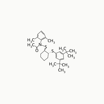 CC(=O)N(S[C@@H]1CCCC[C@H]1Sc1cc(C(C)(C)C)cc(C(C)(C)C)c1)c1c(C)cccc1C